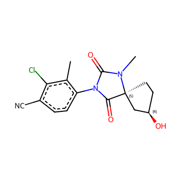 Cc1c(N2C(=O)N(C)[C@]3(CC[C@@H](O)C3)C2=O)ccc(C#N)c1Cl